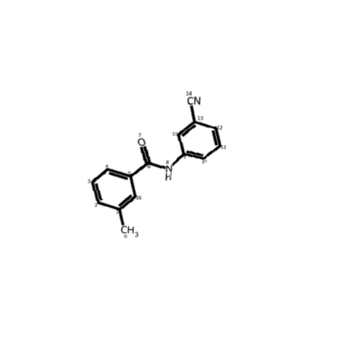 Cc1cccc(C(=O)Nc2cccc(C#N)c2)c1